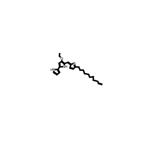 C=CCCCCCCCCCC1=N/C(=C/c2[nH]c(-c3ccc[nH]3)cc2OCC)C=C1